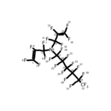 FC(F)=C(F)C(F)(F)N(C(F)(F)C(F)=C(F)F)C(F)(F)C(F)(F)C(F)(F)C(F)(F)C(F)(F)C(F)(F)F